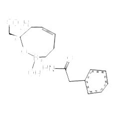 O=C(O)C[C@H]1C/C=C\C[C@H](NC(=O)Cc2ccccc2)B(O)O1